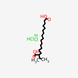 CC(C)C(CCCCCCCCCCCCCCC(=O)O)C(=O)O.Cl.Cl